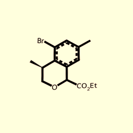 CCOC(=O)C1OC[C@@H](C)c2c(Br)cc(C)cc21